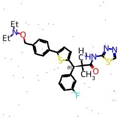 CCN(CC)OCc1ccc(-c2ccc([C@H](c3cccc(F)c3)C(C)(C)C(=O)Nc3nncs3)s2)cc1